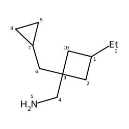 CCC1CC(CN)(CC2CC2)C1